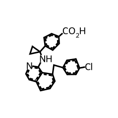 O=C(O)c1ccc(C2(Nc3nccc4cccc(Cc5ccc(Cl)cc5)c34)CC2)cc1